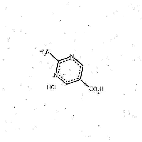 Cl.Nc1ncc(C(=O)O)cn1